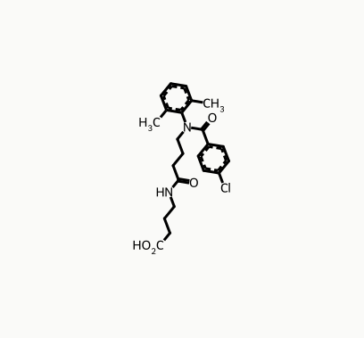 Cc1cccc(C)c1N(CCCC(=O)NCCCC(=O)O)C(=O)c1ccc(Cl)cc1